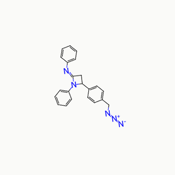 [N-]=[N+]=NCc1ccc(C2CC(=Nc3ccccc3)N2c2ccccc2)cc1